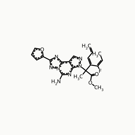 C=C/C=C(\C(F)=C/C)C(C)(C(=O)OC)n1ncc2c1nc(N)n1nc(-c3ccco3)nc21